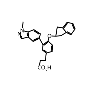 Cn1ncc2cc(-c3cc(CCC(=O)O)ccc3OC3Cc4ccccc4C3)ccc21